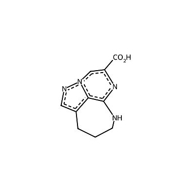 O=C(O)c1cn2ncc3c2c(n1)NCCC3